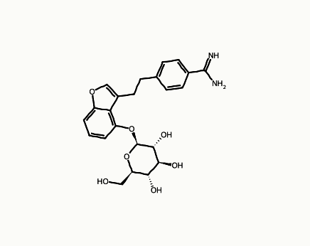 N=C(N)c1ccc(CCc2coc3cccc(O[C@@H]4O[C@H](CO)[C@@H](O)[C@H](O)[C@H]4O)c23)cc1